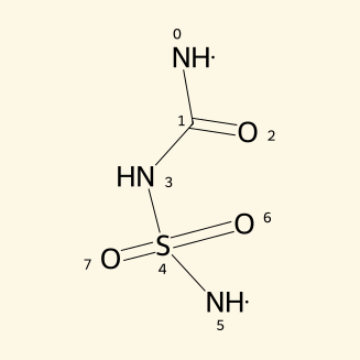 [NH]C(=O)NS([NH])(=O)=O